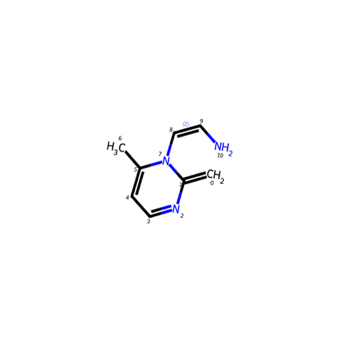 C=C1N=CC=C(C)N1/C=C\N